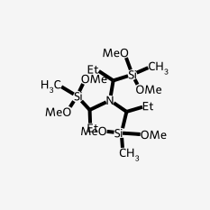 CCC(N(C(CC)[Si](C)(OC)OC)C(CC)[Si](C)(OC)OC)[Si](C)(OC)OC